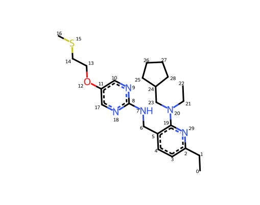 CCc1ccc(CNc2ncc(OCCSC)cn2)c(N(CC)CC2CCCC2)n1